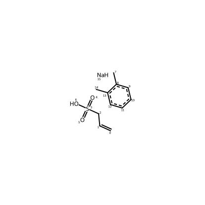 C=CCS(=O)(=O)O.Cc1ccccc1C.[NaH]